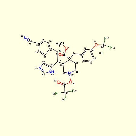 COC(=O)C1(Cc2cccc(OC(F)(F)F)c2)CCN(OC(=O)C(F)(F)F)CC1C(Cc1ccc(C#N)cc1)c1cnc[nH]1